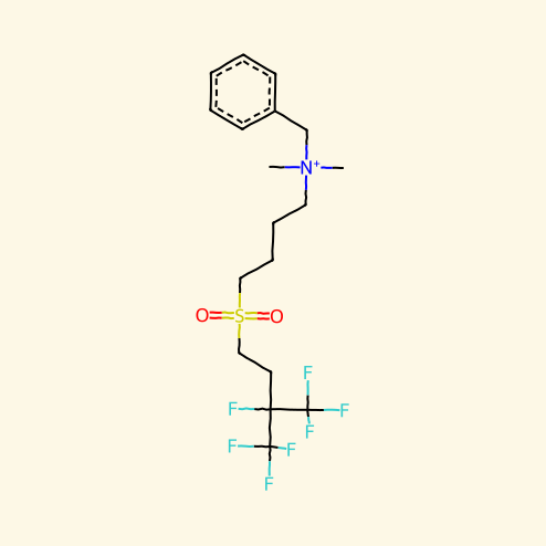 C[N+](C)(CCCCS(=O)(=O)CCC(F)(C(F)(F)F)C(F)(F)F)Cc1ccccc1